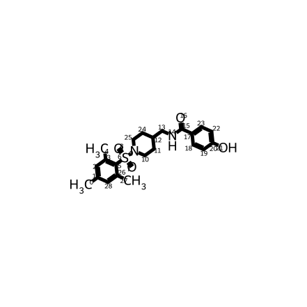 Cc1cc(C)c(S(=O)(=O)N2CCC(CNC(=O)c3ccc(O)cc3)CC2)c(C)c1